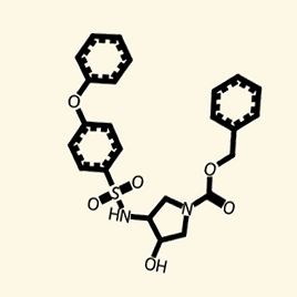 O=C(OCc1ccccc1)N1CC(O)C(NS(=O)(=O)c2ccc(Oc3ccccc3)cc2)C1